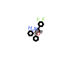 C[C@@H](O[Si](c1ccccc1)(c1ccccc1)C(C)(C)C)[C@H](N)c1ccc(F)c(F)c1